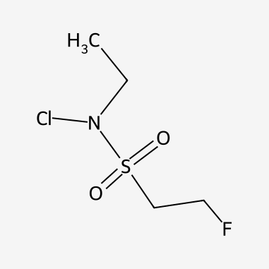 CCN(Cl)S(=O)(=O)CCF